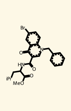 COC(=O)C(CC(C)C)NC(=O)c1cn(Cc2ccccc2)c2ccc(Br)cc2c1=O